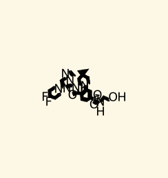 O=C(Nc1nc(N2CCC(F)(F)CC2)cc2nccn12)c1ccc(S(=O)(=O)NCCO)cc1N1CCC2(CC1)CC2